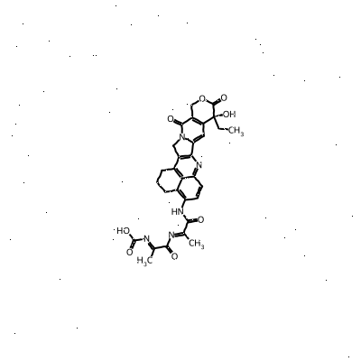 CC[C@@]1(O)C(=O)OCc2c1cc1n(c2=O)Cc2c-1nc1ccc(NC(=O)C(C)=NC(=O)C(C)=NC(=O)O)c3c1c2CCC3